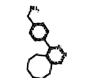 NCc1ccc(-c2nncc3c2CCCCCC3)cc1